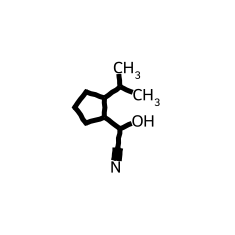 CC(C)C1CCCC1C(O)C#N